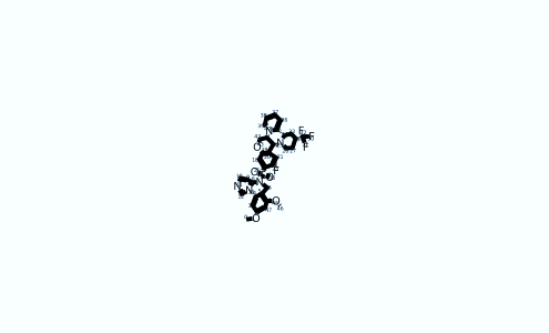 COc1ccc(CN(c2ccncn2)S(=O)(=O)c2cc3c(cc2F)[C@@H](N2CC[C@@H](C(F)(F)F)C[C@H]2c2ccccn2)CCO3)c(OC)c1